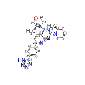 C[C@H]1COCCN1c1nc(N2CCOC[C@@H]2C)c2ccc(-c3ccc(-c4nnn[nH]4)cc3)nc2n1